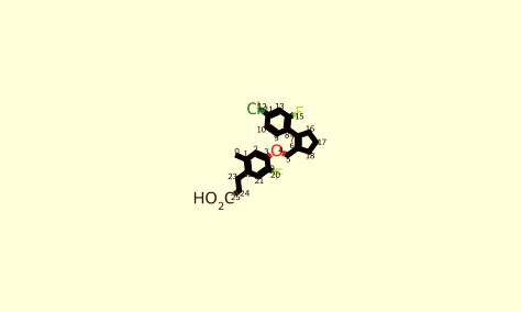 Cc1cc(OCC2=C(c3ccc(Cl)cc3F)CCC2)c(F)cc1CCC(=O)O